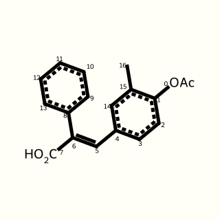 CC(=O)Oc1ccc(/C=C(/C(=O)O)c2ccccc2)cc1C